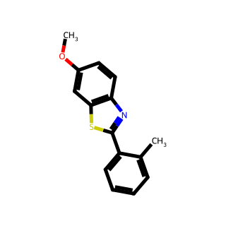 COc1ccc2nc(-c3ccccc3C)sc2c1